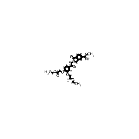 CCOC(=O)COc1ccc(C(=O)CN2Cc3cc(C(=N)SC)ccc3C2=O)cc1OCC(=O)OCC